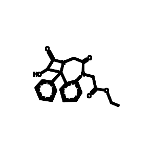 CCOC(=O)CN1C(=O)CN2C(=O)C(O)C2(c2ccccc2)c2ccccc21